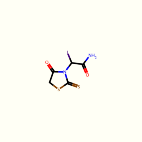 NC(=O)C(I)N1C(=O)CSC1=S